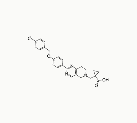 O=C(O)C1(CN2CCc3nc(-c4ccc(OCc5ccc(Cl)cc5)cc4)ncc3C2)CC1